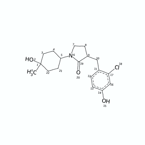 CC1(O)CCC(N2CCC(Cc3ccc(O)cc3Cl)C2=O)CC1